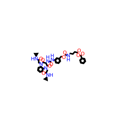 O=C(CN1C(=O)C(NC(=O)Nc2cccc(COC(=O)NCCCC(=O)OC(=O)c3ccccc3)c2)C(=O)N(CC(=O)NC2CC2)c2ccccc21)NC1CC1